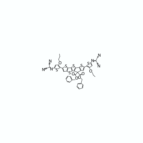 CCCOc1cc(N=C(C#N)C#N)sc1-c1cc2c(s1)-c1sc3c(sc4cc(-c5sc(N=C(C#N)C#N)cc5OCCC)sc43)c1C2(C(=O)OCc1ccccc1)C(=O)OCc1ccccc1